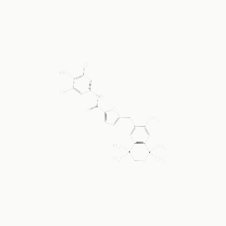 Cc1cc2c(cc1Cc1ccc(C(=O)Nc3cc(Cl)c(O)c(Cl)c3)o1)C(C)(C)CCC2(C)C